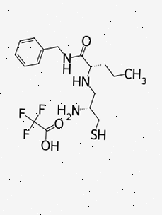 CCC[C@H](NC[C@@H](N)CS)C(=O)NCc1ccccc1.O=C(O)C(F)(F)F